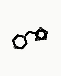 C1CN(Cc2nnn[nH]2)CC[N]1